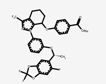 COC(=O)c1ccc(OC2CCCc3c(C(F)(F)F)nn(-c4cccc(O[C@H](C)c5cc6c(cc5F)OC(F)(F)O6)c4)c32)cc1